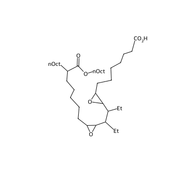 CCCCCCCCOC(=O)C(CCCCCCCC)CCCCCC1OC1C(CC)C(CC)C1OC1CCCCCCC(=O)O